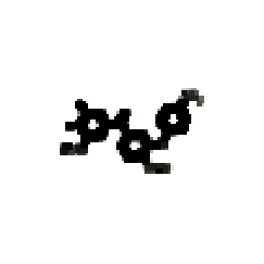 C=C(c1ccc(OC)c(Oc2ccc([N+](=O)[O-])cc2)c1)c1cc(C)c(C)c(OC)c1